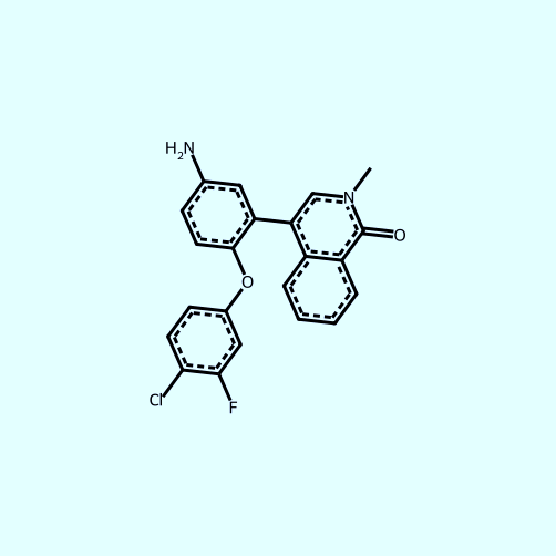 Cn1cc(-c2cc(N)ccc2Oc2ccc(Cl)c(F)c2)c2ccccc2c1=O